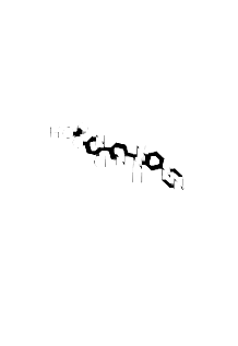 CN1CCN(c2ccc3nc(-c4ccc(-c5ncc(OC(=O)O)cc5Cl)cn4)[nH]c3c2)CC1